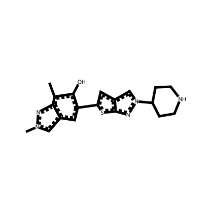 Cc1c(O)c(-c2cc3cn(C4CCNCC4)nc3s2)cc2cn(C)nc12